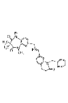 CCN1C(=O)C(C)(C)C(=O)N(C)c2cc(CNCc3ccc4c(c3)N(Cc3ccccc3)C(=O)CC4)ccc21